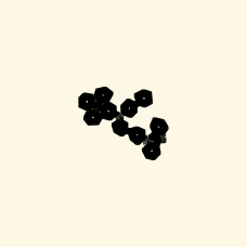 c1ccc(-c2ccc(N(c3ccc([Si](c4ccccc4)(c4ccccc4)c4ccccc4)cc3)c3cccc(-c4ccc(-n5c6ccccc6c6sc7ccccc7c65)cc4)c3)cc2)cc1